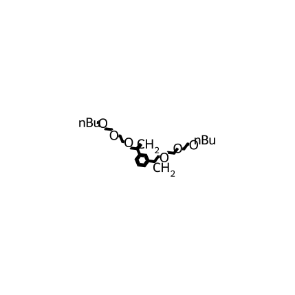 C=C(COCCOCCOCCCC)c1cccc(C(=C)COCCOCCOCCCC)c1